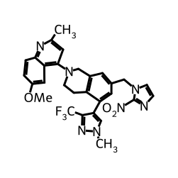 COc1ccc2nc(C)cc(N3CCc4c(cc(Cn5ccnc5[N+](=O)[O-])cc4-c4cn(C)nc4C(F)(F)F)C3)c2c1